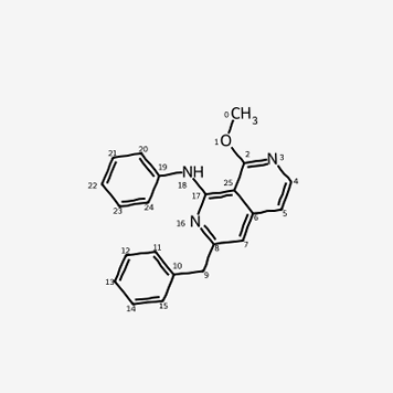 COc1nccc2cc(Cc3ccccc3)nc(Nc3ccccc3)c12